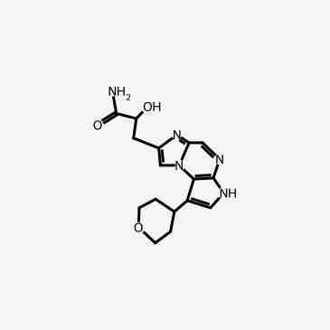 NC(=O)C(O)Cc1cn2c(cnc3[nH]cc(C4CCOCC4)c32)n1